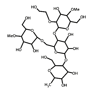 COC1C(CO)OC(OCC2OC(OC3C(CO)OC(C)C(O)C3O)C(O)C(O)C2OC2OC(CO)C(OC)C(O)C2OCCO)C(O)C1O